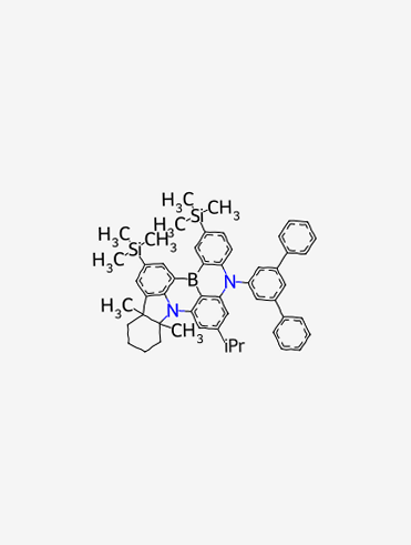 CC(C)c1cc2c3c(c1)N1c4c(cc([Si](C)(C)C)cc4C4(C)CCCCC14C)B3c1cc([Si](C)(C)C)ccc1N2c1cc(-c2ccccc2)cc(-c2ccccc2)c1